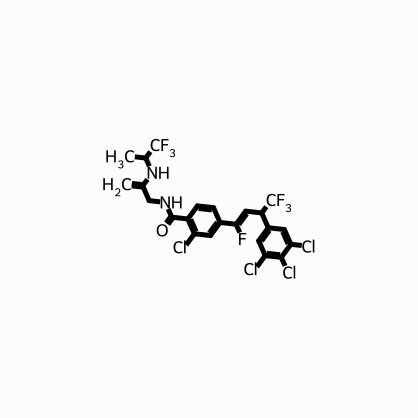 C=C(CNC(=O)c1ccc(/C(F)=C/C(c2cc(Cl)c(Cl)c(Cl)c2)C(F)(F)F)cc1Cl)NC(C)C(F)(F)F